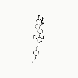 CCCC1CCC(CCc2cc(F)c(-c3ccc4c(F)c(OC(F)(F)F)ccc4c3)c(F)c2)CC1